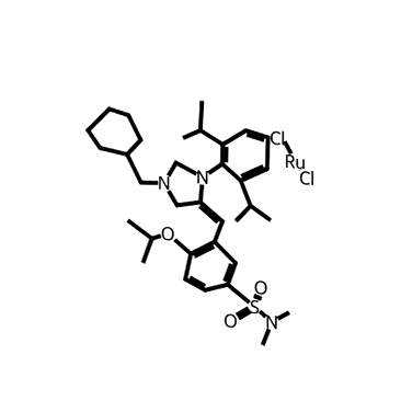 CC(C)Oc1ccc(S(=O)(=O)N(C)C)cc1C=C1CN(CC2CCCCC2)CN1c1c(C(C)C)cccc1C(C)C.[Cl][Ru][Cl]